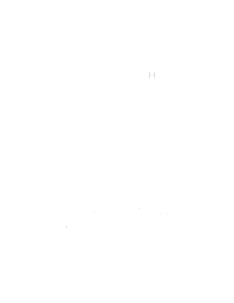 O=C1CC(=O)CC(CCCO)C1